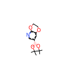 CC1(C)OB(c2cnc3c(c2)OCCO3)OC1(C)C